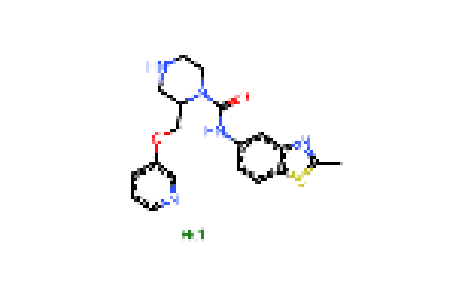 Cc1nc2cc(NC(=O)N3CCNCC3COc3cccnc3)ccc2s1.Cl